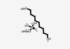 CCCCCCCCCCCCCCCCCCO.O=P(O)(O)O.[NaH]